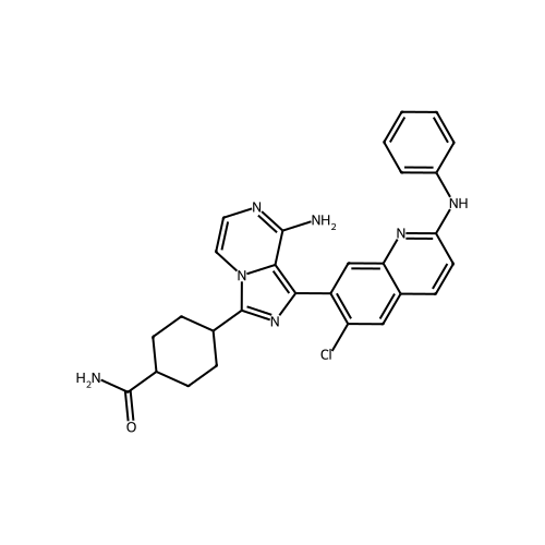 NC(=O)C1CCC(c2nc(-c3cc4nc(Nc5ccccc5)ccc4cc3Cl)c3c(N)nccn23)CC1